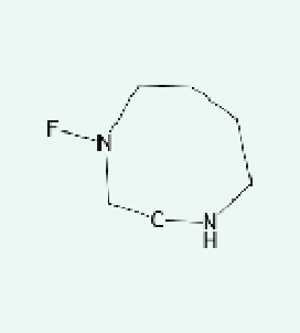 FN1CCCCNCC1